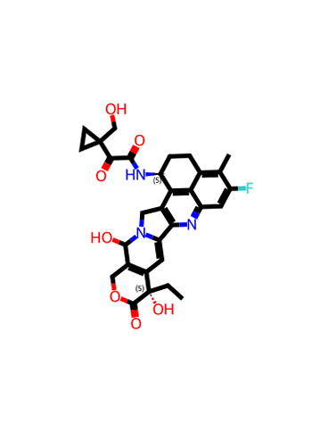 CC[C@@]1(O)C(=O)OCC2=C1C=C1c3nc4cc(F)c(C)c5c4c(c3CN1C2O)[C@@H](NC(=O)C(=O)C1(CO)CC1)CC5